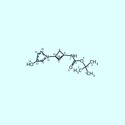 CC(C)(C)OC(=O)NC12CC(n3cc(O)cn3)(C1)C2